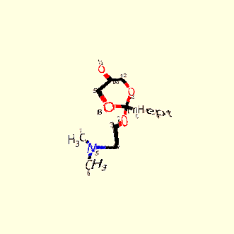 CCCCCCCC1(OCCN(C)C)OCC(=O)CO1